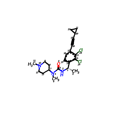 C[C@H](NC(=O)N(C)C1CCN(C)CC1)c1ccc(C#CC2CC2)c(Cl)c1Cl